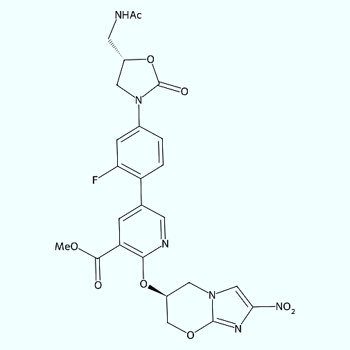 COC(=O)c1cc(-c2ccc(N3C[C@H](CNC(C)=O)OC3=O)cc2F)cnc1O[C@@H]1COc2nc([N+](=O)[O-])cn2C1